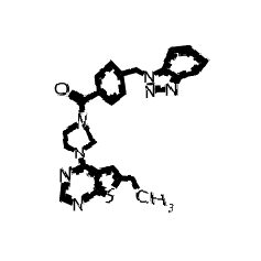 CCc1cc2c(N3CCN(C(=O)c4ccc(Cn5nnc6ccccc65)cc4)CC3)ncnc2s1